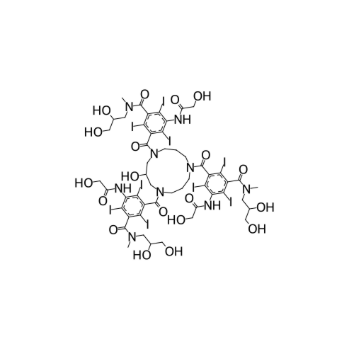 CN(CC(O)CO)C(=O)c1c(I)c(NC(=O)CO)c(I)c(C(=O)N2CCCN(C(=O)c3c(I)c(NC(=O)CO)c(I)c(C(=O)N(C)CC(O)CO)c3I)CC(O)CN(C(=O)c3c(I)c(NC(=O)CO)c(I)c(C(=O)N(C)CC(O)CO)c3I)CCC2)c1I